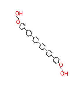 OCCOc1ccc(-c2ccc(-c3ccc(-c4ccc(-c5ccc(-c6ccc(OCCO)cc6)cc5)cc4)cc3)cc2)cc1